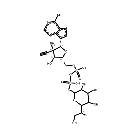 C#C[C@@]1(N)[C@H](O)[C@@H](COP(=O)(S)OP(=O)(O)OC2OC([C@@H](F)CO)C(O)C(O)C2O)O[C@H]1c1csc2c(N)ncnc12